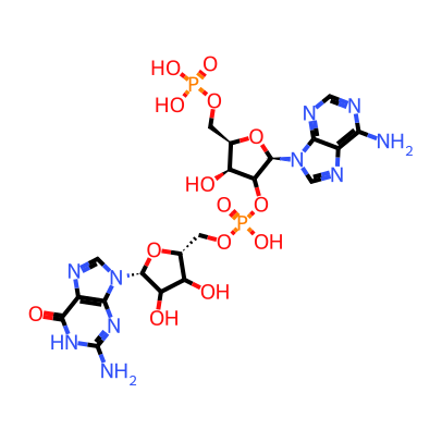 Nc1nc2c(ncn2[C@@H]2O[C@H](COP(=O)(O)OC3[C@@H](O)[C@@H](COP(=O)(O)O)O[C@H]3n3cnc4c(N)ncnc43)C(O)C2O)c(=O)[nH]1